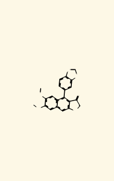 COc1cc2cc3c(c(-c4ccc5c(c4)OCO5)c2cc1OC)C(=O)CO3